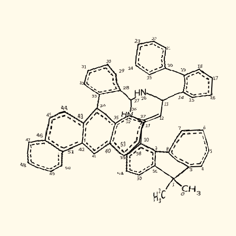 CC1(C)c2ccccc2-c2c(C3=CC(c4ccccc4-c4ccccc4)NC(c4ccccc4-c4c5ccccc5cc5c4ccc4ccccc45)N3)cccc21